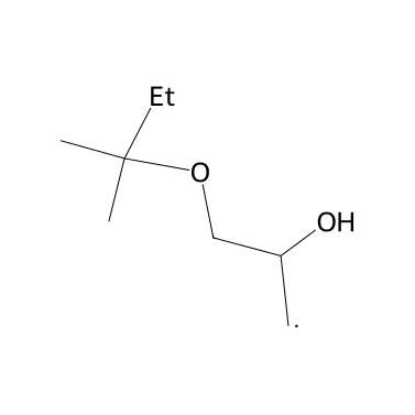 [CH2]C(O)COC(C)(C)CC